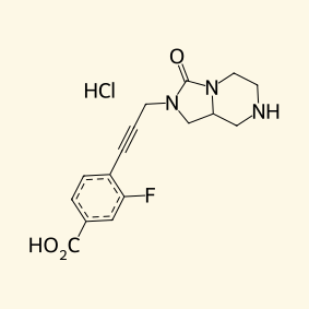 Cl.O=C(O)c1ccc(C#CCN2CC3CNCCN3C2=O)c(F)c1